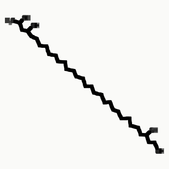 CC(O)CC(O)CCCCCCCCCCCCCCCCCCCCCCCCCC(O)CCO